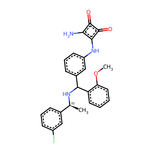 COc1ccccc1C(N[C@@H](C)c1cccc(F)c1)c1cccc(Nc2c(N)c(=O)c2=O)c1